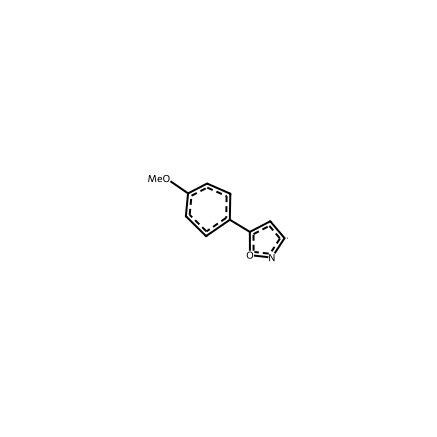 COc1ccc(-c2c[c]no2)cc1